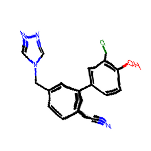 N#Cc1ccc(Cn2cnnc2)cc1-c1ccc(O)c(Cl)c1